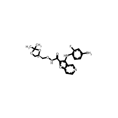 Bc1ccc(Nc2c(C(=O)NOC[C@H]3COC(C)(C)O3)oc3ccncc23)c(F)c1